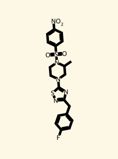 CC1CN(c2nc(Cc3ccc(F)cc3)ns2)CCN1S(=O)(=O)c1ccc([N+](=O)[O-])cc1